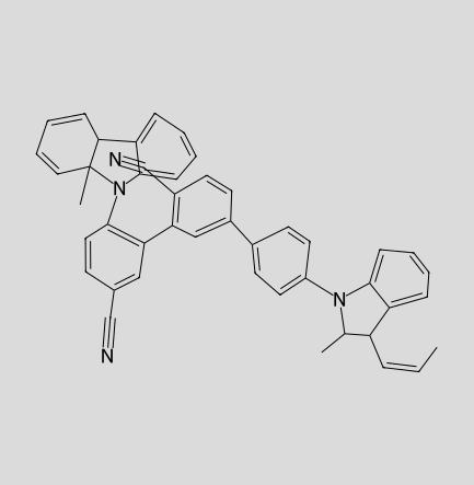 C/C=C\C1c2ccccc2N(c2ccc(-c3ccc(C#N)c(-c4cc(C#N)ccc4N4c5ccccc5C5C=CC=CC54C)c3)cc2)C1C